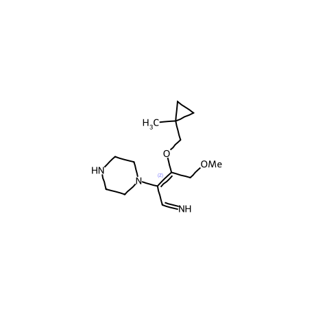 COC/C(OCC1(C)CC1)=C(\C=N)N1CCNCC1